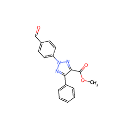 COC(=O)c1nn(-c2ccc(C=O)cc2)nc1-c1ccccc1